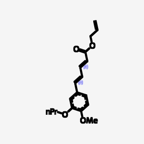 C=CCOC(=O)/C=C/C=C/c1ccc(OC)c(OCCC)c1